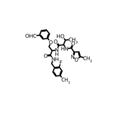 Cc1ccc(CNC(=O)C(COc2cccc(C=O)c2)NC(=O)C(NC(=O)c2cc(C)on2)C(C)O)c(F)c1